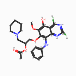 COc1c(OCC(CN2CCCCC2)OC(C)=O)c(Nc2ccccc2)c2nc(F)nc(Cl)c2c1O